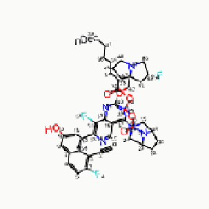 C#Cc1c(F)ccc2cc(O)cc(-c3ncc4c(N5CC6CCC(C5)N6C(=O)OCOC(=O)CCCCCCCCCCCCCCC)nc(OC[C@@]56CCCN5C[C@H](F)C6)nc4c3F)c12